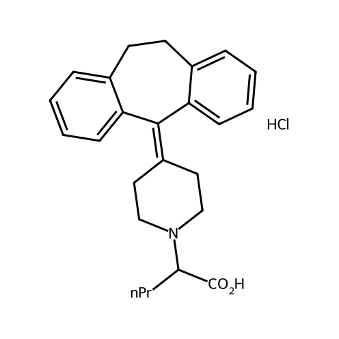 CCCC(C(=O)O)N1CCC(=C2c3ccccc3CCc3ccccc32)CC1.Cl